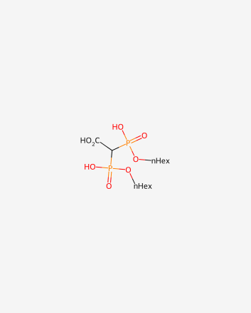 CCCCCCOP(=O)(O)C(C(=O)O)P(=O)(O)OCCCCCC